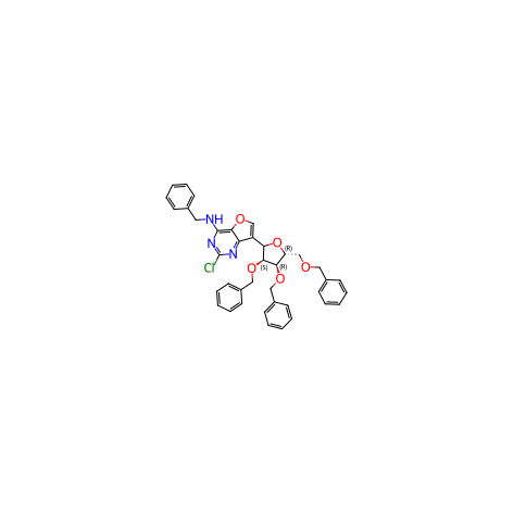 Clc1nc(NCc2ccccc2)c2occ(C3O[C@H](COCc4ccccc4)[C@@H](OCc4ccccc4)[C@H]3OCc3ccccc3)c2n1